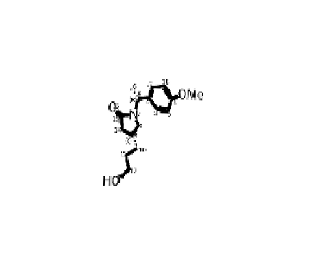 COc1ccc([C@@H](C)N2C[C@H](CCCO)CC2=O)cc1